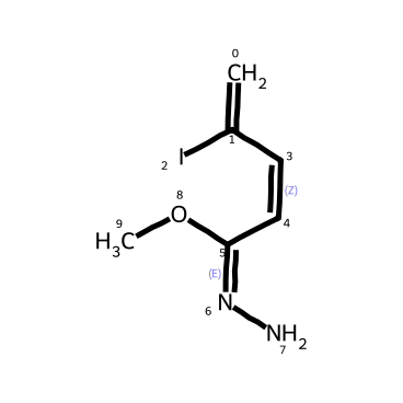 C=C(I)/C=C\C(=N/N)OC